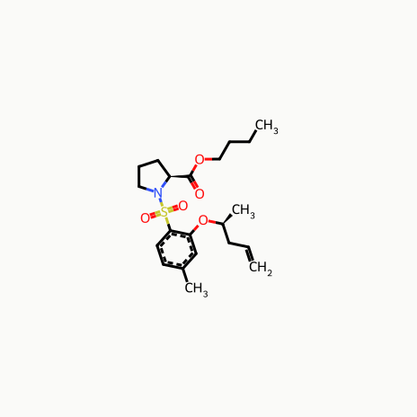 C=CC[C@H](C)Oc1cc(C)ccc1S(=O)(=O)N1CCC[C@H]1C(=O)OCCCC